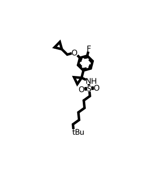 CC(C)(C)CCCCCCS(=O)(=O)NC1(c2ccc(F)c(OCC3CC3)c2)CC1